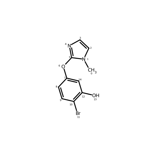 Cn1ccnc1Oc1ccc(Br)c(O)c1